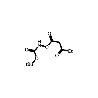 CCC(=O)CC(=O)ONC(=O)OC(C)(C)C